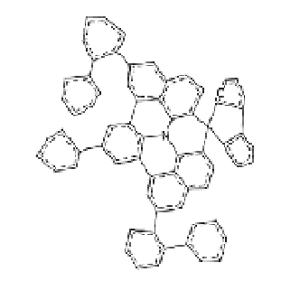 c1ccc(-c2cc3c4c(c2)-c2cc(-c5ccccc5-c5ccccc5)cc5ccc6c(c25)N4c2c(ccc4cc(-c5ccccc5-c5ccccc5)cc-3c24)C62c3ccccc3-c3ccccc32)cc1